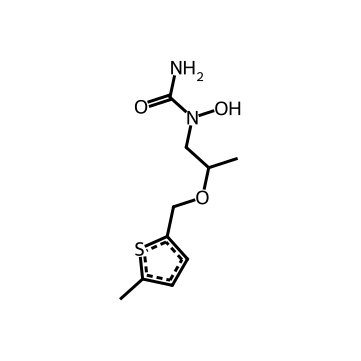 Cc1ccc(COC(C)CN(O)C(N)=O)s1